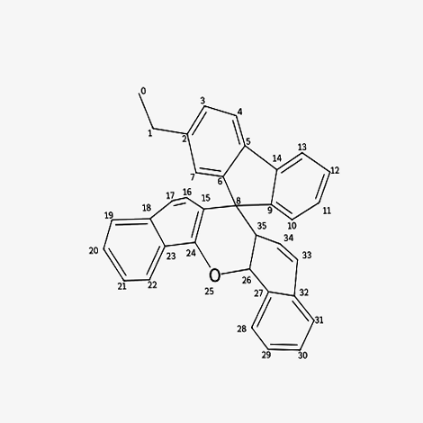 CCc1ccc2c(c1)C1(c3ccccc3-2)c2ccc3ccccc3c2OC2c3ccccc3C=CC21